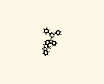 O=c1c2c(ccc3c2c2ccccc2n3-c2nc(-c3ccccc3)nc(-c3ccccc3)n2)sc2nc3ccccc3n12